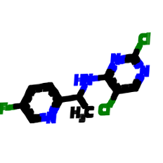 CC(Nc1nc(Cl)ncc1Cl)c1ccc(F)cn1